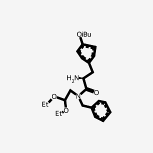 CCOC(CN(Cc1ccccc1)C(=O)[C@@H](N)Cc1ccc(OCC(C)C)cc1)OCC